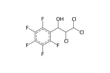 OC(c1c(F)c(F)c(F)c(F)c1F)C(Cl)C(Cl)Cl